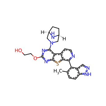 Cc1ccc2[nH]ncc2c1-c1nccc2c1sc1nc(OCCO)nc(N3C[C@H]4CC[C@@H](C3)N4)c12